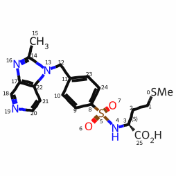 CSCC[C@H](NS(=O)(=O)c1ccc(Cn2c(C)nc3cnccc32)cc1)C(=O)O